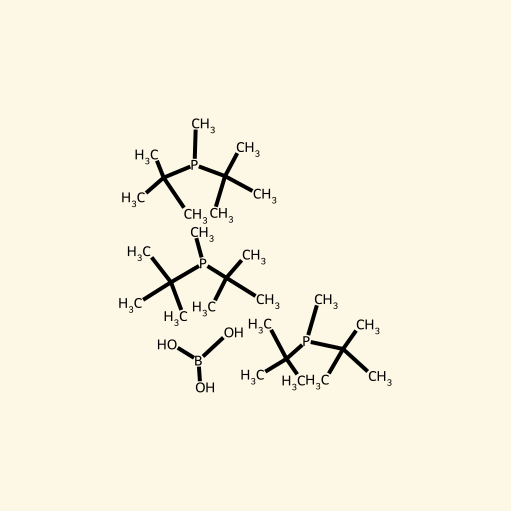 CP(C(C)(C)C)C(C)(C)C.CP(C(C)(C)C)C(C)(C)C.CP(C(C)(C)C)C(C)(C)C.OB(O)O